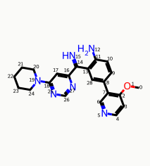 COc1ccncc1-c1ccc(N)c(C(=N)c2cc(N3CCCCC3)ncn2)c1